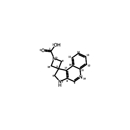 O=C(O)N1CC2(CNc3cnc4ccccc4c32)C1